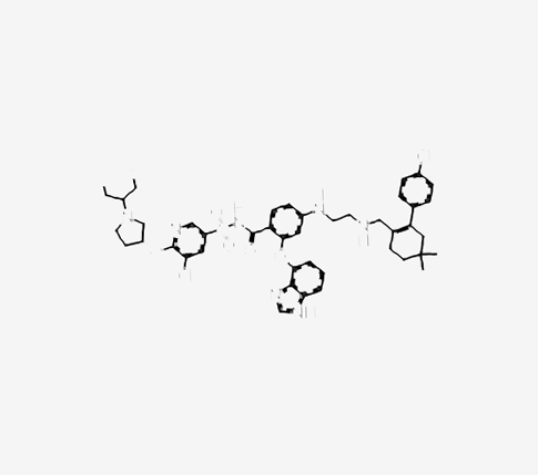 CC1(C)CCC(CNCCNc2ccc(C(=O)NS(=O)(=O)c3cnc(O[C@@H]4CCN(C(CF)CF)C4)c(Cl)c3)c(Oc3cccc4[nH]cnc34)c2)=C(c2ccc(Cl)cc2)C1